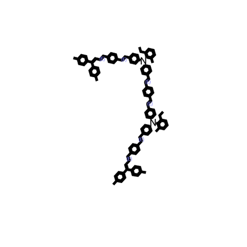 CCc1cccc(C)c1N(c1ccc(/C=C/c2ccc(/C=C/C=C(c3ccc(C)cc3)c3ccc(C)cc3)cc2)cc1)c1ccc(/C=C/c2ccc(/C=C/c3ccc(N(c4ccc(/C=C/c5ccc(/C=C/C=C(c6ccc(C)cc6)c6ccc(C)cc6)cc5)cc4)c4c(C)cccc4CC)cc3)cc2)cc1